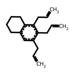 C=CCc1[c]c2c(c(CC=C)c1CC=C)CCCC2